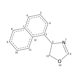 [C]1=NC(c2cccc3ccccc23)CO1